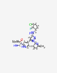 CNC(=O)/C(C=N)=C1\C=C(c2cc(NCc3cccc(Cl)c3F)nn2-c2cccc(C)n2)C=CN1